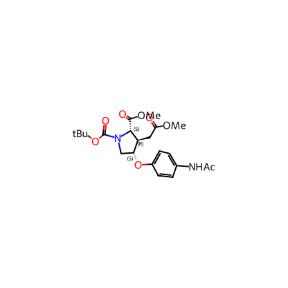 COC(=O)C[C@@H]1[C@@H](C(=O)OC)N(C(=O)OC(C)(C)C)C[C@H]1Oc1ccc(NC(C)=O)cc1